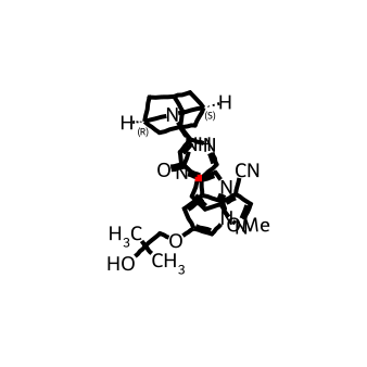 COc1ccc(C(=O)NC23CC4C[C@H](C2)N(c2cnc(-c5cc(OCC(C)(C)O)cn6ncc(C#N)c56)cn2)[C@@H](C4)C3)cn1